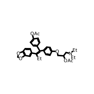 CCC(=C(c1ccc(OCC(CN(CC)CC)OC(C)=O)cc1)c1ccc(OC(C)=O)cc1)c1ccc2c(c1)OCO2